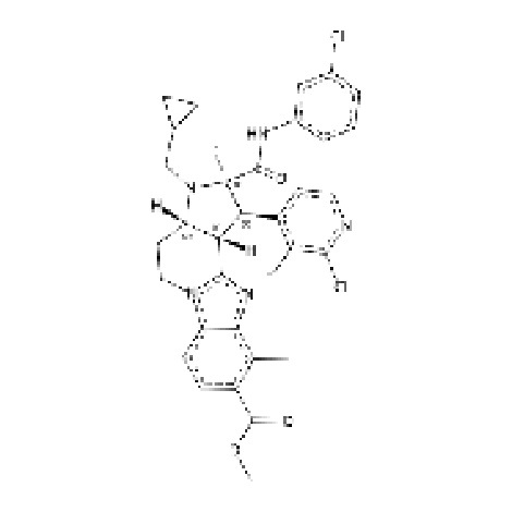 COC(=O)c1ccc2c(nc3n2CC[C@H]2[C@@H]3[C@H](c3ccnc(Cl)c3F)[C@](C)(C(=O)Nc3cccc(Cl)c3)N2CC2CC2)c1C